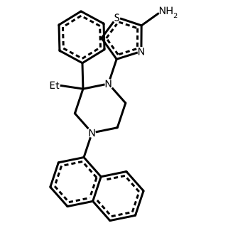 CCC1(c2ccccc2)CN(c2cccc3ccccc23)CCN1c1csc(N)n1